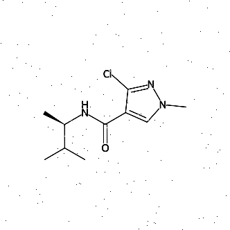 CC(C)[C@@H](C)NC(=O)c1cn(C)nc1Cl